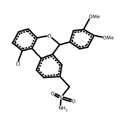 COc1ccc(C2Oc3cccc(Cl)c3-c3ccc(CS(N)(=O)=O)cc32)cc1OC